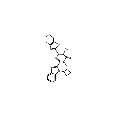 Cn1c(-c2nc3ccccc3n2C2CCC2)nc(-c2nc3c(o2)CCCC3)c(O)c1=O